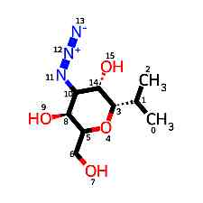 CC(C)[C@@H]1OC(CO)[C@@H](O)C(N=[N+]=[N-])[C@@H]1O